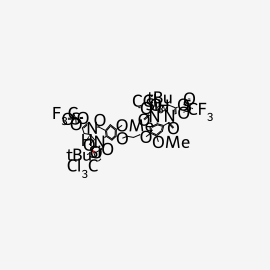 COc1cc2c(cc1OCCCOc1cc3c(cc1OC)C(=O)N1C=C(OS(=O)(=O)C(F)(F)F)C[C@H]1[C@H](O[Si](C)(C)C(C)(C)C)N3C(=O)OCC(Cl)(Cl)Cl)N(C(=O)OCC(Cl)(Cl)Cl)[C@@H](O[Si](C)(C)C(C)(C)C)[C@@H]1CC(OS(=O)(=O)C(F)(F)F)=CN1C2=O